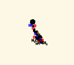 CCCN(C)S(=O)(=O)N1CC[C@H]2[C@H]1[C@H](C)C(=O)N2c1nc(CCOC(=O)Nc2ccccc2)cs1